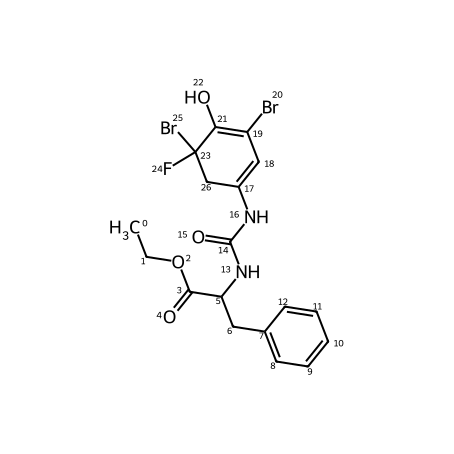 CCOC(=O)C(Cc1ccccc1)NC(=O)NC1=CC(Br)=C(O)C(F)(Br)C1